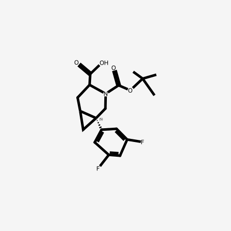 CC(C)(C)OC(=O)N1C[C@@]2(c3cc(F)cc(F)c3)CC2CC1C(=O)O